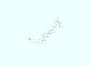 CCc1n[nH]c(CC)c1NC(=O)c1ccn2c1CCc1cnc(Nc3ccc(OC4CCN(C)CC4)cc3C)nc1-2